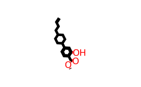 C=CCCC1CCC(c2ccc(C(=O)OC)c(O)c2)CC1